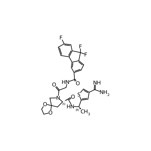 C[C@@H](NC(=O)[C@@H]1CC2(CN1C(=O)CNC(=O)c1ccc3c(c1)-c1ccc(F)cc1C3(F)F)OCCO2)c1cc(C(=N)N)cs1